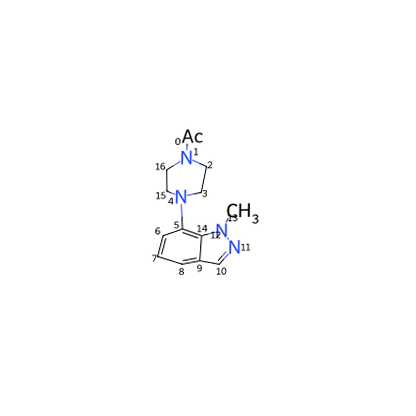 CC(=O)N1CCN(c2cccc3cnn(C)c23)CC1